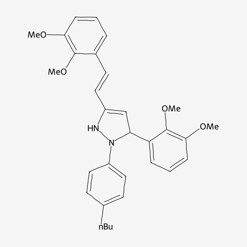 CCCCc1ccc(N2NC(C=Cc3cccc(OC)c3OC)=CC2c2cccc(OC)c2OC)cc1